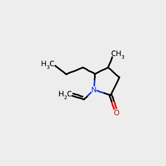 C=CN1C(=O)CC(C)C1CCC